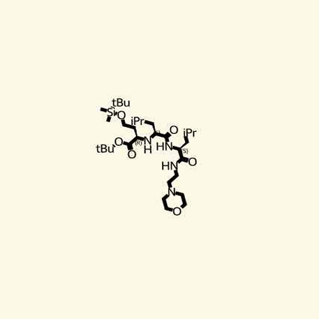 CC(C)C[C@H](NC(=O)[C@H](CC(C)C)N[C@H](CCO[Si](C)(C)C(C)(C)C)C(=O)OC(C)(C)C)C(=O)NCCN1CCOCC1